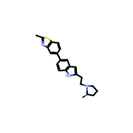 Cc1nc2cc(-c3ccc4[nH]c(CCN5CCC[C@H]5C)cc4c3)ccc2s1